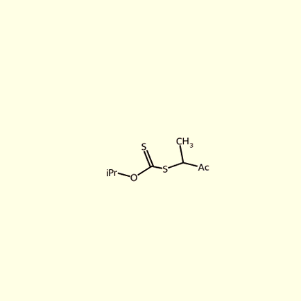 CC(=O)C(C)SC(=S)OC(C)C